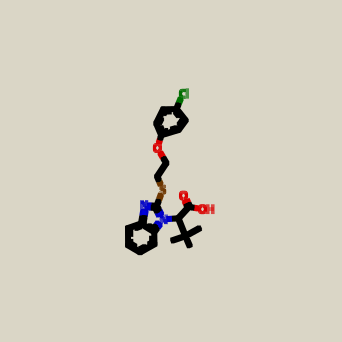 CC(C)(C)C(C(=O)O)n1c(SCCOc2ccc(Cl)cc2)nc2ccccc21